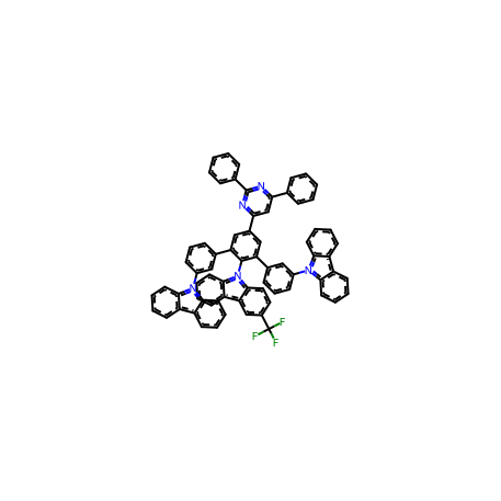 FC(F)(F)c1ccc2c(c1)c1ccccc1n2-c1c(-c2cccc(-n3c4ccccc4c4ccccc43)c2)cc(-c2cc(-c3ccccc3)nc(-c3ccccc3)n2)cc1-c1cccc(-n2c3ccccc3c3ccccc32)c1